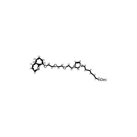 CCCCCCCCCCCCCCCCN1C=CN(CCOCCOCCOc2cccc3cccnc23)C1